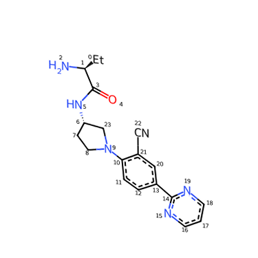 CC[C@H](N)C(=O)N[C@H]1CCN(c2ccc(-c3ncccn3)cc2C#N)C1